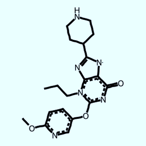 CCCn1c(Oc2ccc(OC)nc2)nc(=O)c2c1N=C(C1CCNCC1)[N]2